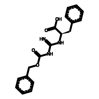 N=C(NC(=O)OCc1ccccc1)N[C@@H](Cc1ccccc1)C(=O)O